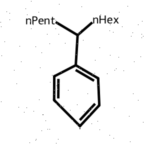 CCCCCCC(CCCCC)c1cc[c]cc1